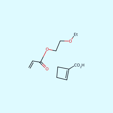 C=CC(=O)OCCOCC.O=C(O)C1=CCC1